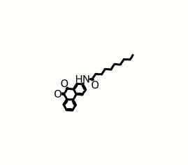 CCCCCCCCCC(=O)Nc1ccc2c(c1)C(=O)C(=O)c1ccccc1-2